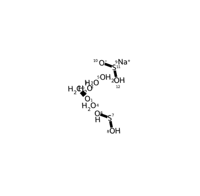 C=O.O.O.O.O.OSO.[Na+].[O-]SO